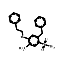 NS(=O)(=O)c1cc(C(=O)O)c(NCCc2ccccc2)cc1Cc1ccccc1